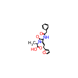 CC(C(=O)O)N1C(=O)[C@@H](NC(=O)Cc2ccccc2)C1=CCc1ccco1